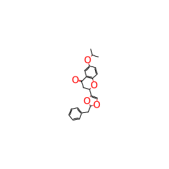 CC(C)Oc1ccc2c(c1)C(=O)CC(C1=COC(Cc3ccccc3)O1)O2